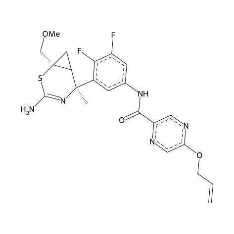 C=CCOc1cnc(C(=O)Nc2cc(F)c(F)c([C@@]3(C)N=C(N)S[C@@]4(COC)CC43)c2)cn1